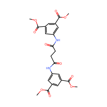 COC(=O)c1cc(NC(=O)CCC(=O)Nc2cc(C(=O)OC)cc(C(=O)OC)c2)cc(C(=O)OC)c1